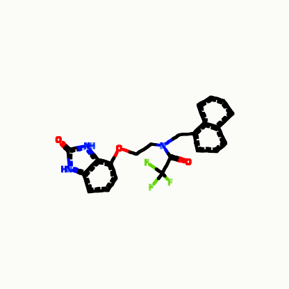 O=C(N(CCOc1cccc2[nH]c(=O)[nH]c12)Cc1cccc2ccccc12)C(F)(F)F